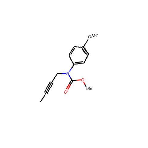 CC#CCN(C(=O)OC(C)(C)C)c1ccc(OC)cc1